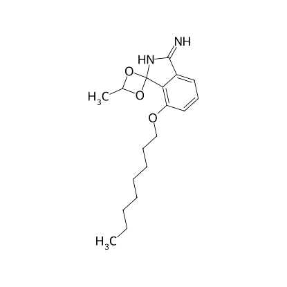 CCCCCCCCOc1cccc2c1C1(NC2=N)OC(C)O1